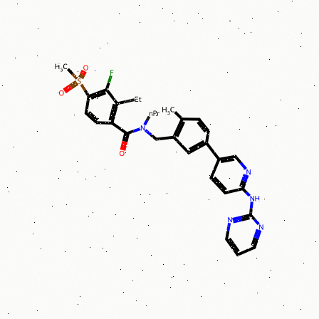 CCCN(Cc1cc(-c2ccc(Nc3ncccn3)nc2)ccc1C)C(=O)c1ccc(S(C)(=O)=O)c(F)c1CC